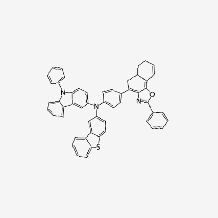 C1=CC2=c3oc(-c4ccccc4)nc3=C(c3ccc(N(c4ccc5sc6ccccc6c5c4)c4ccc5c(c4)c4ccccc4n5-c4ccccc4)cc3)CC2CC1